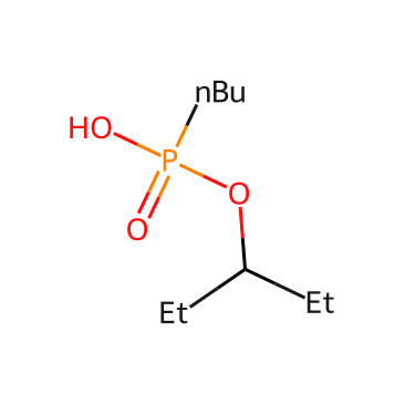 CCCCP(=O)(O)OC(CC)CC